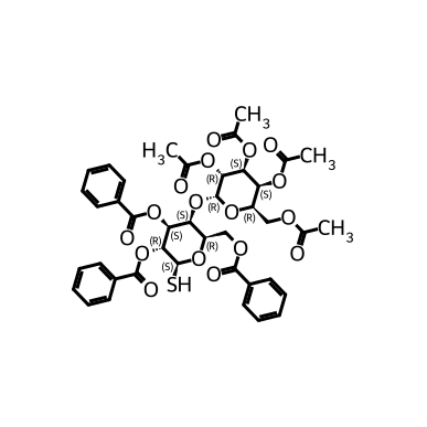 CC(=O)OC[C@H]1O[C@H](O[C@@H]2[C@H](OC(=O)c3ccccc3)[C@@H](OC(=O)c3ccccc3)[C@H](S)O[C@@H]2COC(=O)c2ccccc2)[C@H](OC(C)=O)[C@@H](OC(C)=O)[C@H]1OC(C)=O